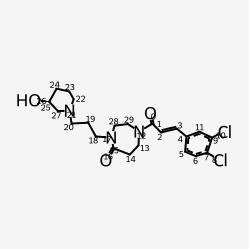 O=C(/C=C/c1ccc(Cl)c(Cl)c1)N1CCC(=O)N(CCCN2CCC[C@H](O)C2)CC1